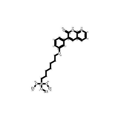 CCO[Si](CCCCCCCOc1cccc(-c2cc3cccnc3oc2=O)c1)(OCC)OCC